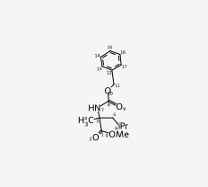 COC(=O)C(C)(CC(C)C)NC(=O)OCc1ccccc1